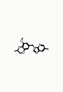 COc1cc(Cn2cnc3cc(I)cnc32)cc2c1OC(C)CO2